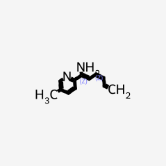 C=C/C=C\C=C(/N)c1ccc(C)cn1